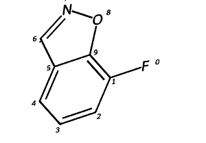 Fc1cccc2[c]noc12